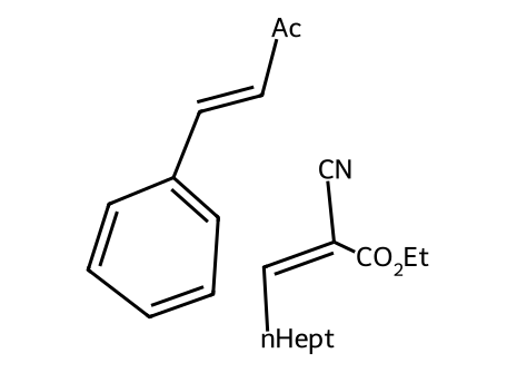 CC(=O)C=Cc1ccccc1.CCCCCCCC=C(C#N)C(=O)OCC